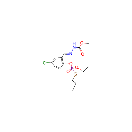 CCCSP(=O)(OCC)Oc1ccc(Cl)cc1C=NNC(=O)OC